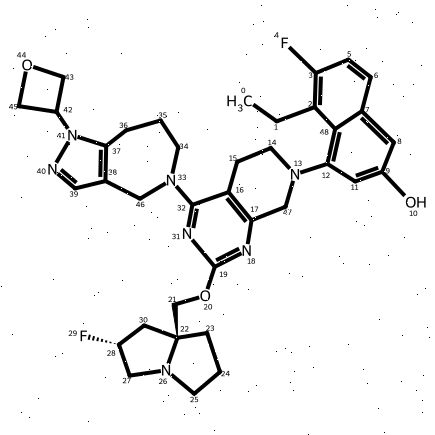 CCc1c(F)ccc2cc(O)cc(N3CCc4c(nc(OC[C@@]56CCCN5C[C@H](F)C6)nc4N4CCCc5c(cnn5C5COC5)C4)C3)c12